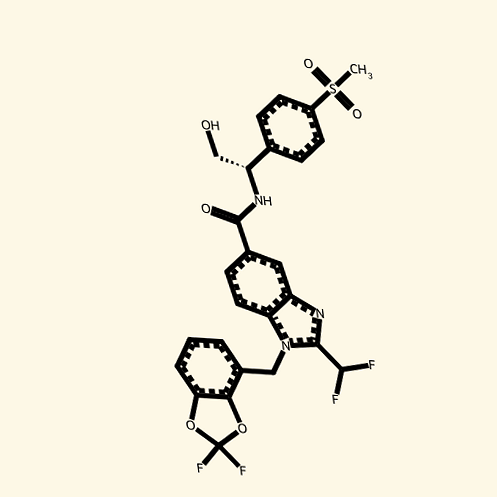 CS(=O)(=O)c1ccc([C@@H](CO)NC(=O)c2ccc3c(c2)nc(C(F)F)n3Cc2cccc3c2OC(F)(F)O3)cc1